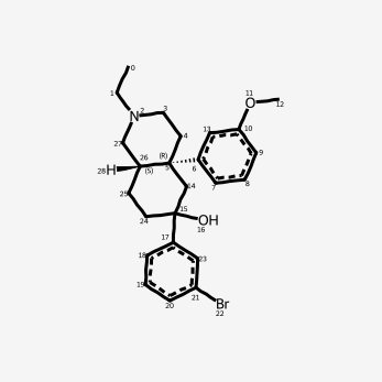 CCN1CC[C@@]2(c3cccc(OC)c3)CC(O)(c3cccc(Br)c3)CC[C@@H]2C1